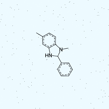 Cc1ccc2c(c1)NC(c1ccccc1)N2C